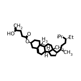 C=C(O)CCC(=O)O[C@H]1CC[C@@]2(C)C(=CC[C@@H]3C2CC[C@]2(C)[C@@H]([C@H](C)CC[C@@H](CC)C(C)C)CC[C@@H]32)C1